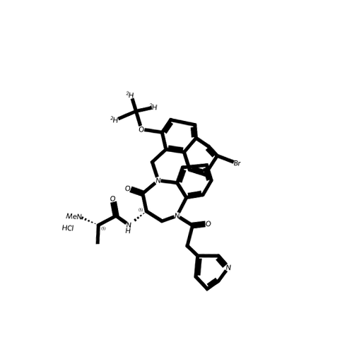 Cl.[2H]C([2H])([2H])Oc1ccc2cc(Br)ccc2c1CN1C(=O)[C@@H](NC(=O)[C@H](C)NC)CN(C(=O)Cc2cccnc2)c2ccccc21